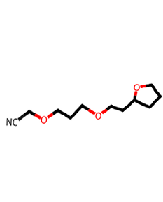 N#CCOCCCOCCC1CCCO1